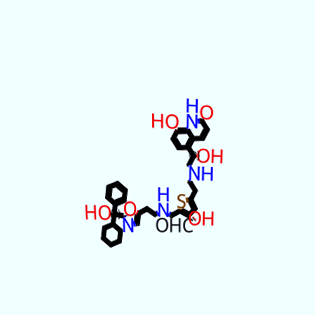 O=CO.O=c1ccc2c([C@@H](O)CNCCc3ccc(CNCCc4cnc([C@](O)(c5ccccc5)C5CCCCC5)o4)s3)ccc(O)c2[nH]1